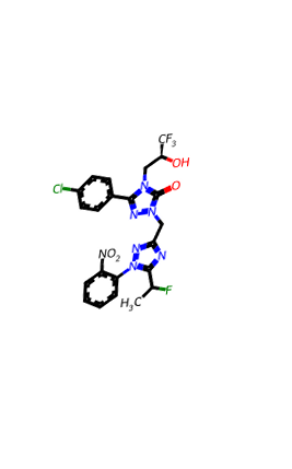 CC(F)c1nc(Cn2nc(-c3ccc(Cl)cc3)n(C[C@H](O)C(F)(F)F)c2=O)nn1-c1ccccc1[N+](=O)[O-]